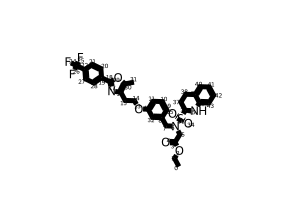 CCOC(=O)CN(Cc1cccc(OCCc2nc(-c3ccc(C(F)(F)F)cc3)oc2C)c1)S(=O)(=O)C1CCc2ccccc2N1